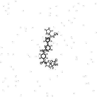 CC1(C)NC(=O)O[C@]12CCN(C(=O)c1ccc(Nc3nccc(-c4cnn(C(CC#N)C5CCCC5)c4)n3)cc1)C2